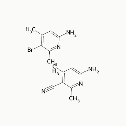 Cc1cc(N)nc(C)c1Br.Cc1cc(N)nc(C)c1C#N